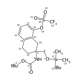 CC(C)(C)OC(=O)NC1(CO[Si](C)(C)C(C)(C)C)CCc2cccc(OS(=O)(=O)C(F)(F)F)c2C1